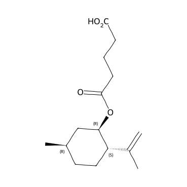 C=C(C)[C@@H]1CC[C@@H](C)C[C@H]1OC(=O)CCCC(=O)O